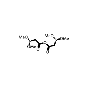 CON(CC(=O)OC(=O)CN(OC)OC)OC